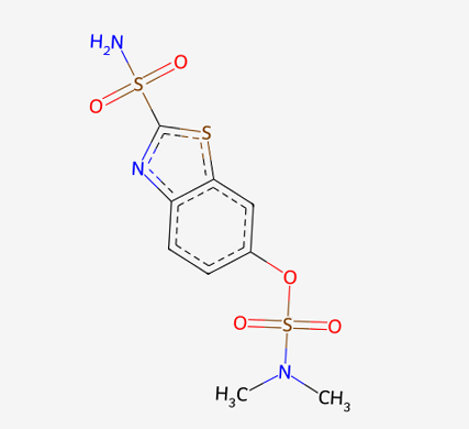 CN(C)S(=O)(=O)Oc1ccc2nc(S(N)(=O)=O)sc2c1